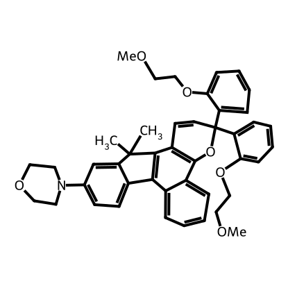 COCCOc1ccccc1C1(c2ccccc2OCCOC)C=Cc2c3c(c4ccccc4c2O1)-c1ccc(N2CCOCC2)cc1C3(C)C